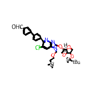 CC(C)(C)[Si](C)(C)OC1CO[C@H]2C1OC[C@H]2Oc1nc2nc(-c3ccc(-c4ccc(C=O)cc4)cc3)c(Cl)cc2n1COCC[Si](C)(C)C